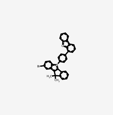 CC1(C)c2ccccc2-c2c1c1cc(Br)ccc1n2-c1ccc(-c2cccc3c2oc2ccccc23)cc1